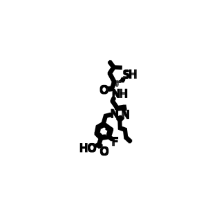 CCCCc1ncc(CNC(=O)[C@@H](CS)CC(C)C)n1Cc1ccc(C(=O)O)c(F)c1